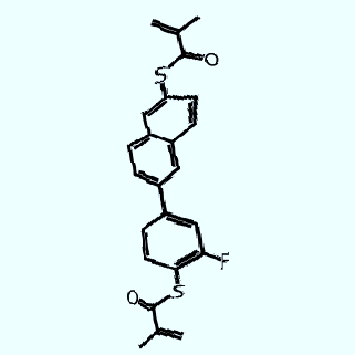 C=C(C)C(=O)Sc1ccc2cc(-c3ccc(SC(=O)C(=C)C)c(F)c3)ccc2c1